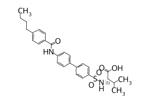 CCCCc1ccc(C(=O)Nc2ccc(-c3ccc(S(=O)(=O)N[C@H](C(=O)O)C(C)C)cc3)cc2)cc1